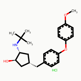 COc1ccc(Oc2ccc(C[C@@H]3C[C@@H](O)[C@H](NC(C)(C)C)C3)cc2)cc1.Cl